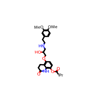 COc1ccc(CCNCC(O)COc2ccc(OC(=O)C(C)C)c3c2CCC(=O)N3)cc1OC